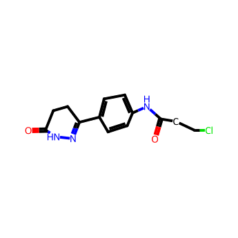 O=C1CCC(c2ccc(NC(=O)CCCl)cc2)=NN1